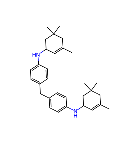 CC1=CC(Nc2ccc(Cc3ccc(NC4C=C(C)CC(C)(C)C4)cc3)cc2)CC(C)(C)C1